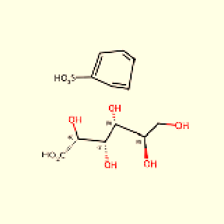 O=C(O)[C@H](O)[C@@H](O)[C@H](O)[C@H](O)CO.O=S(=O)(O)c1ccccc1